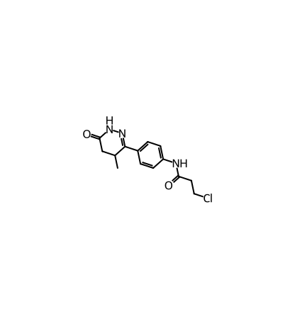 CC1CC(=O)NN=C1c1ccc(NC(=O)CCCl)cc1